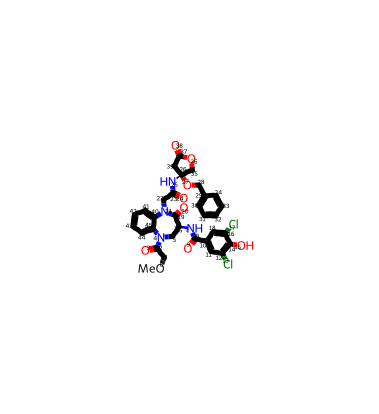 COCC(=O)N1C[C@H](NC(=O)c2cc(Cl)c(O)c(Cl)c2)C(=O)N(CC(=O)N[C@@]2(OCc3ccccc3)COC(=O)C2)c2ccccc21